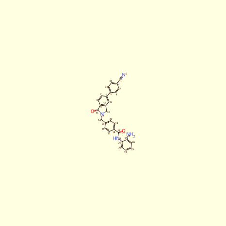 N#Cc1ccc(-c2ccc3c(c2)CN(Cc2ccc(C(=O)Nc4ccccc4N)cc2)C3=O)cc1